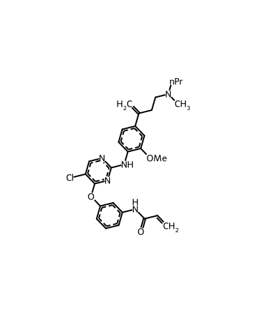 C=CC(=O)Nc1cccc(Oc2nc(Nc3ccc(C(=C)CCN(C)CCC)cc3OC)ncc2Cl)c1